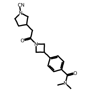 CN(C)C(=O)c1ccc(C2CN(C(=O)CC3CCN(C#N)C3)C2)cc1